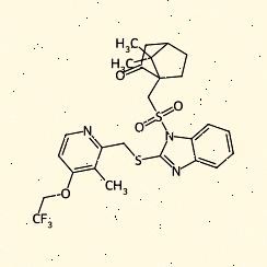 Cc1c(OCC(F)(F)F)ccnc1CSc1nc2ccccc2n1S(=O)(=O)CC12CCC(CC1=O)C2(C)C